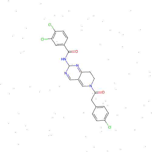 O=C(NC1N=CC2=CN(C(=O)Cc3ccc(Cl)cc3)CCC2=N1)c1ccc(Cl)c(Cl)c1